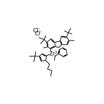 CCCCC1C=C(C(C)(C)C)C=[C]1/[Zr+2](=[C](\C)c1ccccc1)[c]1c(C)c(C(C)(C)C)cc2c1Cc1cc(C)c(C(C)(C)C)cc1-2.[Cl-].[Cl-]